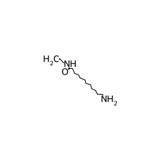 C=CCNC(=O)CCCCCCCCCCCN